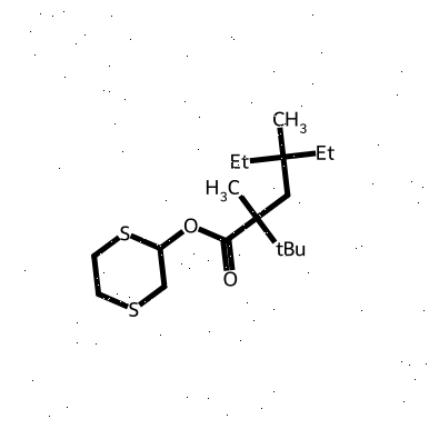 CCC(C)(CC)CC(C)(C(=O)OC1CSCCS1)C(C)(C)C